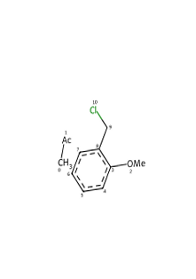 CC(C)=O.COc1ccccc1CCl